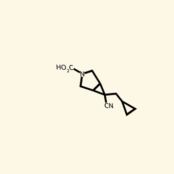 N#CC1(CC2CC2)C2CN(C(=O)O)CC21